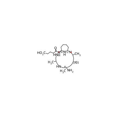 CC[C@H]1CC[C@@](C)(N)CNCC(C)CNC[C@]2(NC(=O)CCCC(=O)O)CCCC[C@@H](CC(C)C1)N2